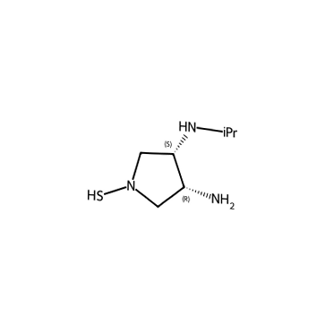 CC(C)N[C@H]1CN(S)C[C@H]1N